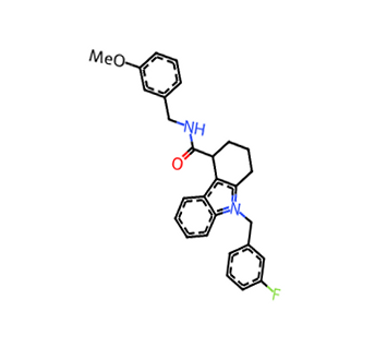 COc1cccc(CNC(=O)C2CCCc3c2c2ccccc2n3Cc2cccc(F)c2)c1